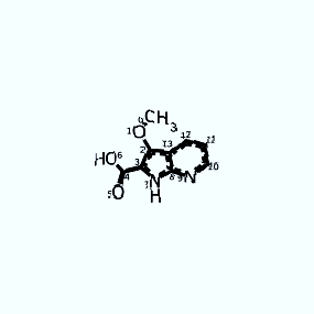 COc1c(C(=O)O)[nH]c2ncccc12